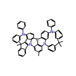 Cc1cc2c3c(c1)-n1c4c(c5c(N(c6ccccc6)c6ccccc6)ccc(c51)B3c1ccc(N(c3ccccc3)c3ccccc3)cc1N2c1cccc(C(C)(C)C)c1)C(C)(C)c1ccccc1-4